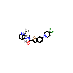 CC1(C)[C@@H](NC(=O)c2cc3ccc(N4CCC(F)(F)CC4)cc3s2)C2CCN1CC2